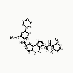 COc1cc(N2CCOCC2)ccc1Nc1ncc2c(n1)-n1ccc(C(=O)Nc3c(C)cccc3Br)c1CC2